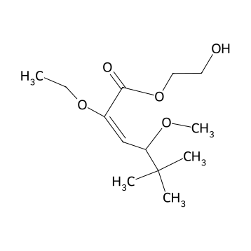 CCOC(=CC(OC)C(C)(C)C)C(=O)OCCO